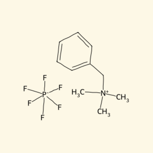 C[N+](C)(C)Cc1ccccc1.F[P-](F)(F)(F)(F)F